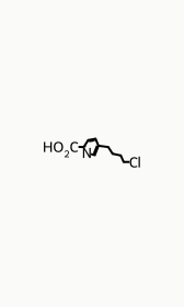 O=C(O)c1ccc(CCCCCl)cn1